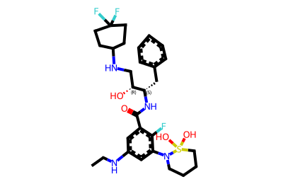 CCNc1cc(C(=O)N[C@@H](Cc2ccccc2)[C@H](O)CNC2CCC(F)(F)CC2)c(F)c(N2CCCCS2(O)O)c1